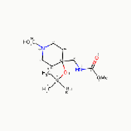 COC(=O)NCC1(O[Si](C)(C)C(C)(C)C)CCN(C(=O)O)CC1